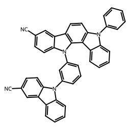 N#Cc1ccc2c(c1)c1ccccc1n2-c1cccc(-n2c3ccc(C#N)cc3c3ccc4c(c5ccccc5n4-c4ccccc4)c32)c1